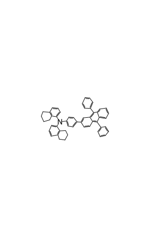 c1ccc(-c2c3ccccc3c(-c3ccccc3)c3cc(-c4ccc(N(c5cccc6c5CCCC6)c5cccc6c5CCCC6)cc4)ccc23)cc1